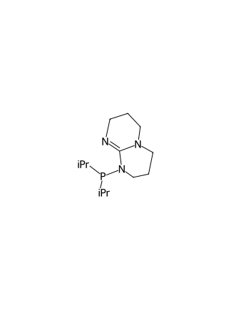 CC(C)P(C(C)C)N1CCCN2CCCN=C21